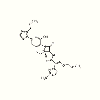 C=CCON=C(C(=O)NC1C(=O)N2C(C(=O)O)=C(CSc3nnnn3CC=C)CS[C@@H]12)c1csc(N)n1